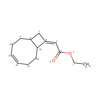 CCOC(=O)C=C1CC2CC/C=C\CCC12